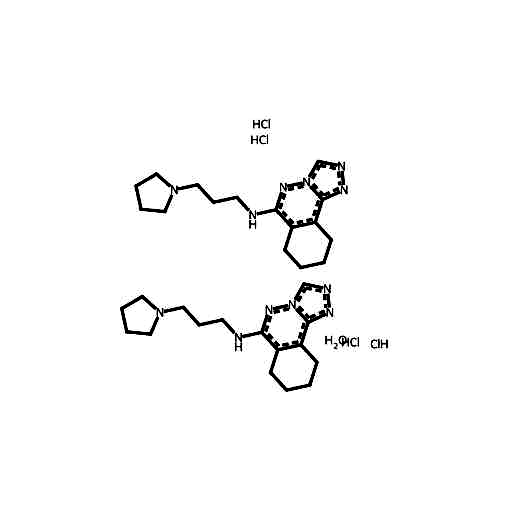 Cl.Cl.Cl.Cl.O.c1nnc2c3c(c(NCCCN4CCCC4)nn12)CCCC3.c1nnc2c3c(c(NCCCN4CCCC4)nn12)CCCC3